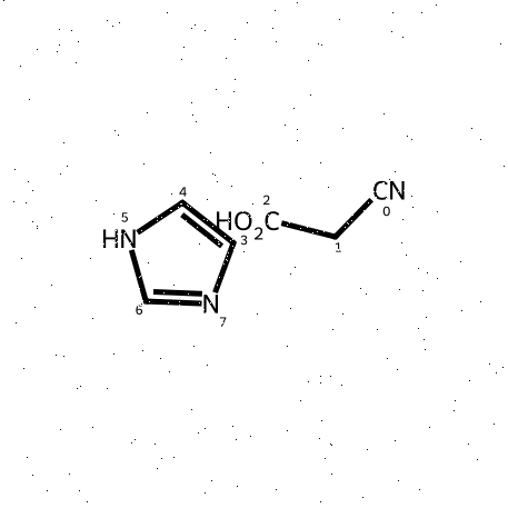 N#CCC(=O)O.c1c[nH]cn1